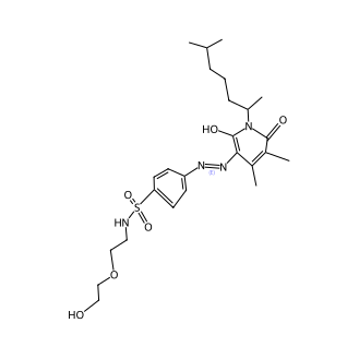 Cc1c(/N=N/c2ccc(S(=O)(=O)NCCOCCO)cc2)c(O)n(C(C)CCCC(C)C)c(=O)c1C